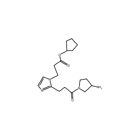 NC1CCN(C(=O)CCc2nccn2CCC(=O)OC2CCCC2)C1